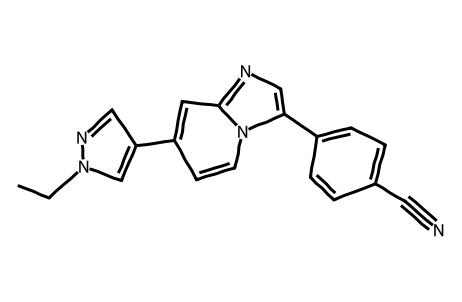 CCn1cc(-c2ccn3c(-c4ccc(C#N)cc4)cnc3c2)cn1